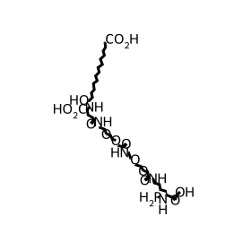 O=C(O)CCCCCCCCCCCCCCC(O)N[C@@H](CCC(=O)NCCOCCOCC(=O)NCCOCCOCC(=O)NCCCC[C@H](NP)C1OC1O)C(=O)O